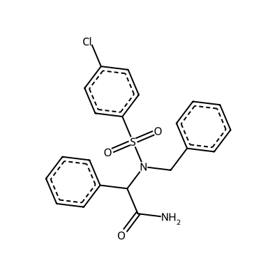 NC(=O)C(c1ccccc1)N(Cc1ccccc1)S(=O)(=O)c1ccc(Cl)cc1